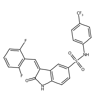 O=C1Nc2ccc(S(=O)(=O)Nc3ccc(C(F)(F)F)cc3)cc2C1=Cc1c(F)cccc1F